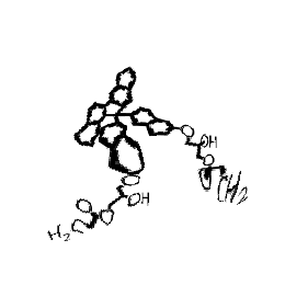 C=CC(=O)OCC(O)COc1ccc2cc(C3(c4ccc5cc(OCC(O)COC(=O)C=C)ccc5c4)c4cc5ccccc5cc4-c4ccc5ccccc5c43)ccc2c1